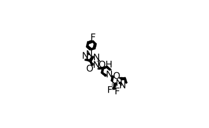 O=C(C[C@H](C(F)F)n1cccn1)N1CCC(O)(Cn2cnc3c(cnn3-c3ccc(F)cc3)c2=O)CC1